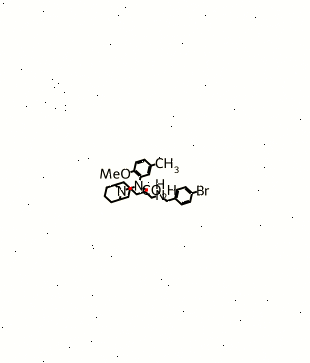 COc1ccc(C)cc1N(C(=O)O)C1CC2CCCC(C1)N2CCCCNCc1ccc(Br)cc1